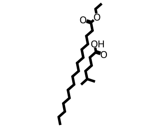 CC(C)CCCC(=O)O.CCCCCCCCCCCCCCCC(=O)OCC